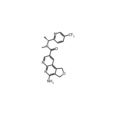 C[C@@H](c1ccc(C(F)(F)F)cn1)N(C)C(=O)c1cnc2nc(N)c3c(c2c1)COC3